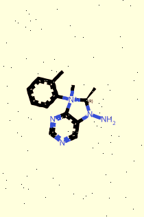 Cc1ccccc1[N+]1(C)c2ncncc2N(N)[C@@H]1C